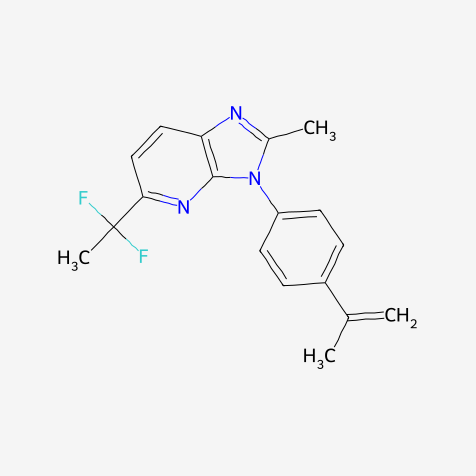 C=C(C)c1ccc(-n2c(C)nc3ccc(C(C)(F)F)nc32)cc1